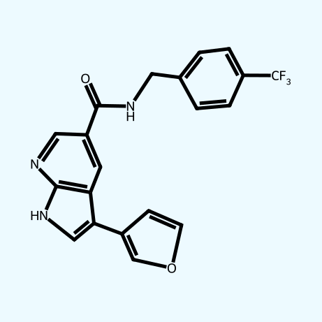 O=C(NCc1ccc(C(F)(F)F)cc1)c1cnc2[nH]cc(-c3ccoc3)c2c1